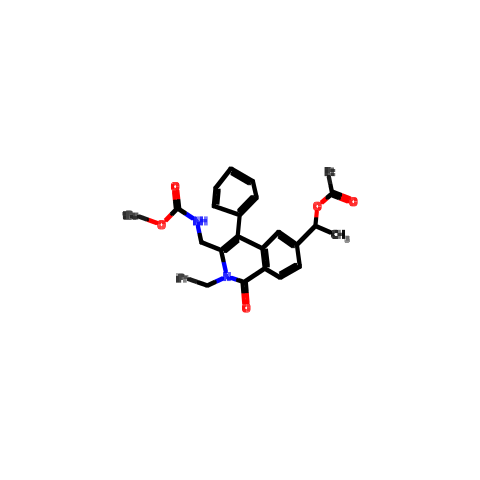 CCC(=O)OC(C)c1ccc2c(=O)n(CC(C)C)c(CNC(=O)OC(C)(C)C)c(-c3ccccc3)c2c1